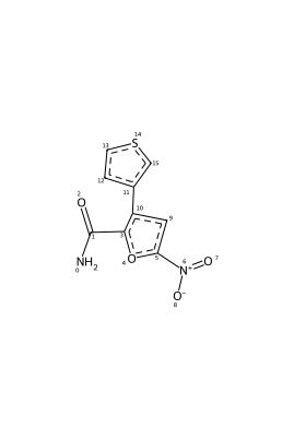 NC(=O)c1oc([N+](=O)[O-])cc1-c1ccsc1